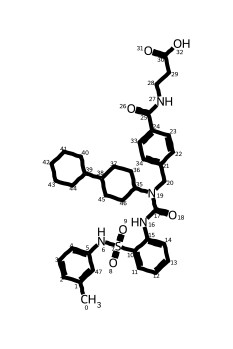 Cc1cccc(NS(=O)(=O)c2ccccc2NC(=O)N(Cc2ccc(C(=O)NCCC(=O)O)cc2)C2CCC(C3CCCCC3)CC2)c1